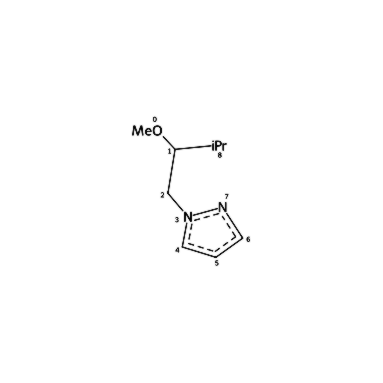 COC(Cn1cccn1)C(C)C